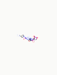 N#Cc1ccc(NC(=O)NCc2ccc3c(c2)CN(C2CCC(=O)NC2=O)C3=O)cc1